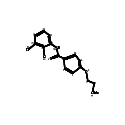 COCCOc1ccc(C(=O)Nc2cccc(Cl)c2Cl)cc1